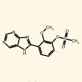 COc1c(OS(C)(=O)=O)cccc1-c1nc2ncncc2[nH]1